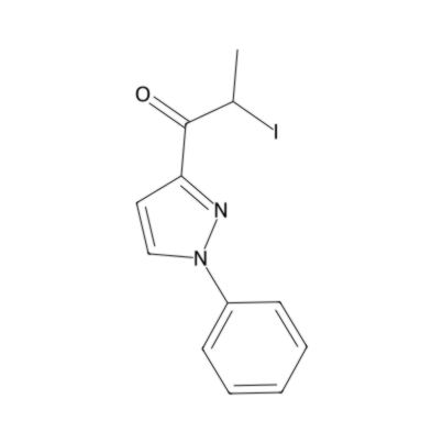 CC(I)C(=O)c1ccn(-c2ccccc2)n1